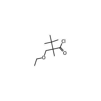 CCOCC(C)(C(=O)Cl)C(C)(C)C